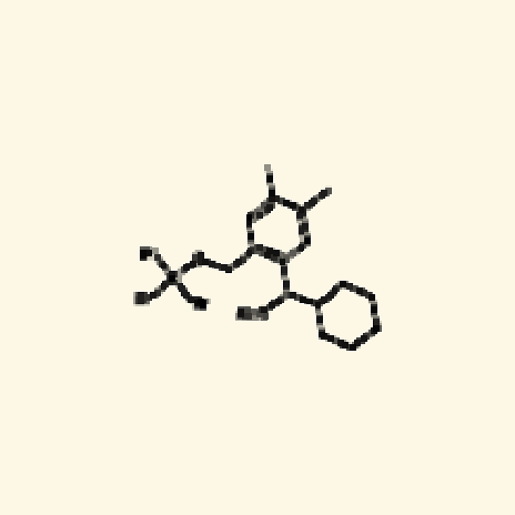 COC(c1cc(C)c(C)cc1CO[Si](C(C)C)(C(C)C)C(C)C)C1CCCCC1